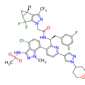 Cn1nc(NS(C)(=O)=O)c2c(Cl)ccc(-c3ccc(-c4cnn(C5CCOCC5)c4)nc3[C@H](Cc3cc(F)cc(F)c3)NC(=O)Cn3nc(C(F)(F)F)c4c3C(F)(F)C3C[C@H]43)c21